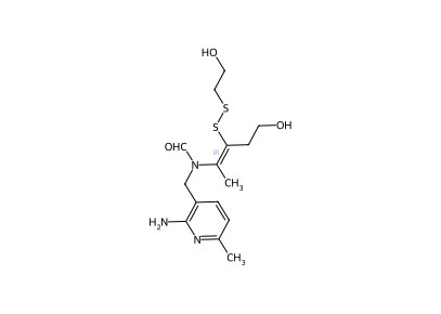 C/C(=C(\CCO)SSCCO)N(C=O)Cc1ccc(C)nc1N